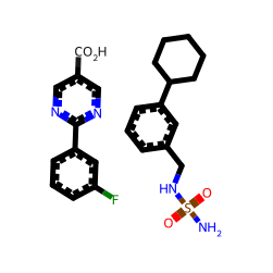 NS(=O)(=O)NCc1cccc(C2CCCCC2)c1.O=C(O)c1cnc(-c2cccc(F)c2)nc1